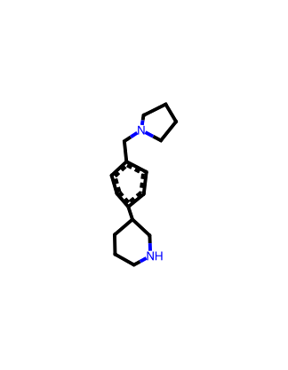 c1cc(C2CCCNC2)ccc1CN1CCCC1